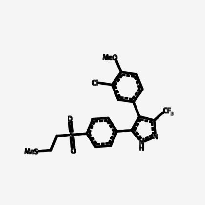 COc1ccc(-c2c(C(F)(F)F)n[nH]c2-c2ccc(S(=O)(=O)CCSC)cc2)cc1Cl